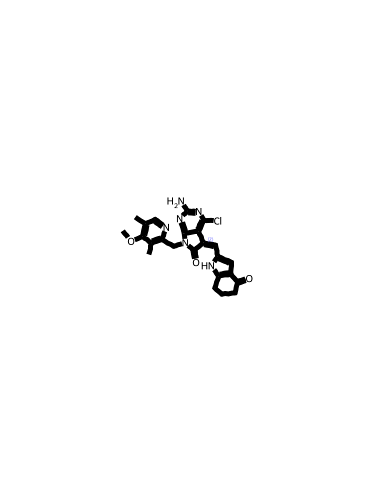 COc1c(C)cnc(CN2C(=O)/C(=C\c3cc4c([nH]3)CCCC4=O)c3c(Cl)nc(N)nc32)c1C